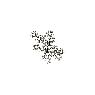 CC1(C)c2ccccc2-c2ccc(N(c3ccc(-c4ccccc4)cc3)c3cc(-c4ccc5c(c4)C4(c6ccccc6-c6ccccc64)c4ccccc4-5)cc(N(c4cccc(-c5ccccc5)c4)c4ccc5c(c4)C(C)(C)c4cc(-c6ccccc6)ccc4-5)c3)cc21